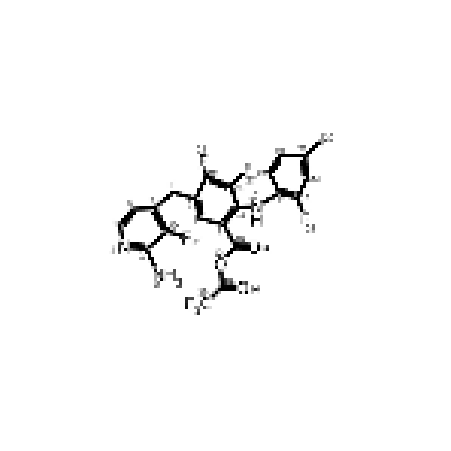 Nc1nccc(Cc2cc(C(=O)OC(=O)C(F)(F)F)c(Nc3ccc(I)cc3F)c(F)c2F)c1F